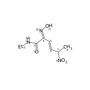 CCNC(=O)C(/C=C/C(C)[N+](=O)[O-])=N/O